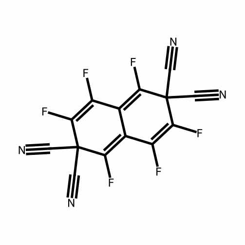 N#CC1(C#N)C(F)=C(F)C2=C(F)C(C#N)(C#N)C(F)=C(F)C2=C1F